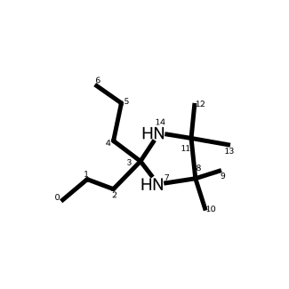 CCCC1(CCC)NC(C)(C)C(C)(C)N1